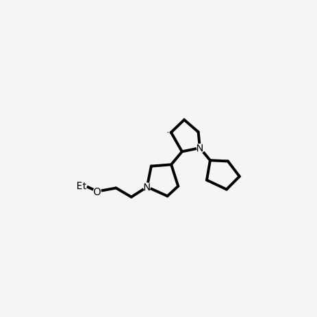 CCOCCN1CCC(C2[CH]CCN2C2CCCC2)C1